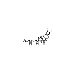 CN(C)CCNCCCNc1nnc2c(n1)c(=O)n(C)c(=O)n2Cc1ccc(F)c(F)c1